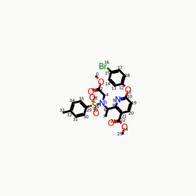 COC(=O)CN(C(C)c1nc(Oc2ccc(Br)cc2)ccc1C(=O)OC)S(=O)(=O)c1ccc(C)cc1